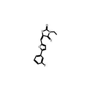 CCN1C(=O)SC(=Cc2ccc(-c3cccc(F)c3)o2)C1=S